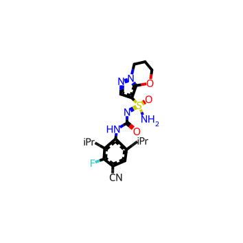 CC(C)c1cc(C#N)c(F)c(C(C)C)c1NC(=O)N=S(N)(=O)c1cnn2c1OCCC2